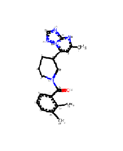 Cc1cc(C2CCCN(C(=O)c3cccc(C)c3C)C2)n2ncnc2n1